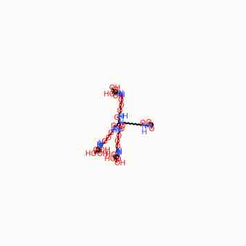 O=C(CCCCCCCCCCC(=O)NC(CCC(=O)NCCOCCOCCOCc1cn([C@H]2CO[C@H](CO)[C@H](O)[C@@H]2O)nn1)(CCC(=O)NCCOCCOCCOCc1cn([C@H]2CO[C@H](CO)[C@H](O)[C@@H]2O)nn1)CCC(=O)NCCOCCOCCOCc1cn([C@H]2CO[C@H](CO)[C@H](O)[C@@H]2O)nn1)NCCN1C(=O)C=CC1=O